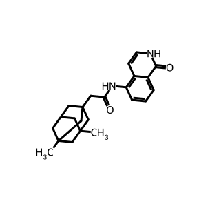 CC12CC3CC(C)(C1)CC(CC(=O)Nc1cccc4c(=O)[nH]ccc14)(C3)C2